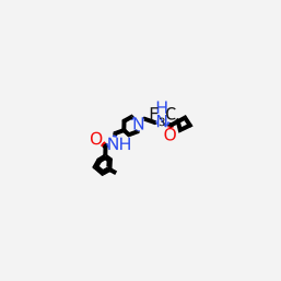 Cc1cccc(C(=O)NCC2CCN(CCNC(=O)C3(C(F)(F)F)CCC3)CC2)c1